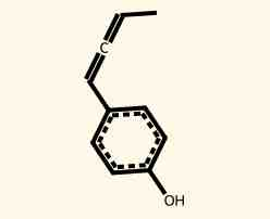 CC=C=Cc1ccc(O)cc1